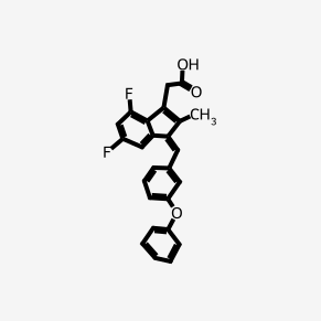 CC1=C(CC(=O)O)c2c(F)cc(F)cc2/C1=C\c1cccc(Oc2ccccc2)c1